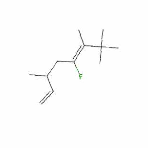 C=CC(C)C/C(F)=C(\C)C(C)(C)C